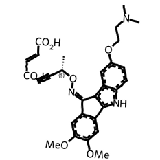 C#C[C@H](C)ON=C1c2cc(OC)c(OC)cc2-c2[nH]c3ccc(OCCN(C)C)cc3c21.O=C(O)C=CC(=O)O